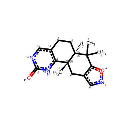 CC1(C)c2oncc2C[C@]2(C)c3[nH]c(=O)ncc3CC[C@@H]12